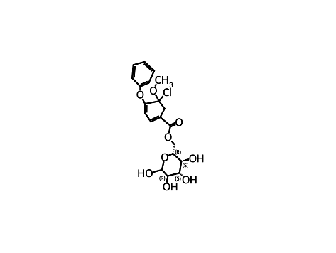 COC1(Cl)CC(C(=O)OC[C@H]2OC(O)[C@H](O)[C@@H](O)[C@@H]2O)=CC=C1Oc1ccccc1